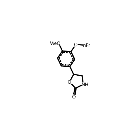 CCCOc1cc(C2CNC(=O)O2)ccc1OC